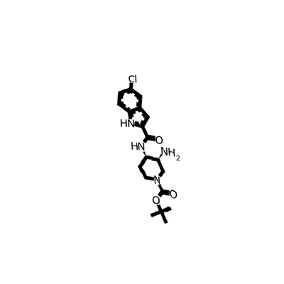 CC(C)(C)OC(=O)N1CC[C@H](NC(=O)c2cc3cc(Cl)ccc3[nH]2)[C@H](N)C1